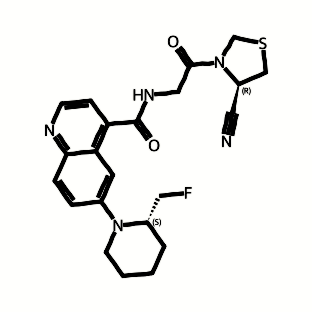 N#C[C@@H]1CSCN1C(=O)CNC(=O)c1ccnc2ccc(N3CCCC[C@H]3CF)cc12